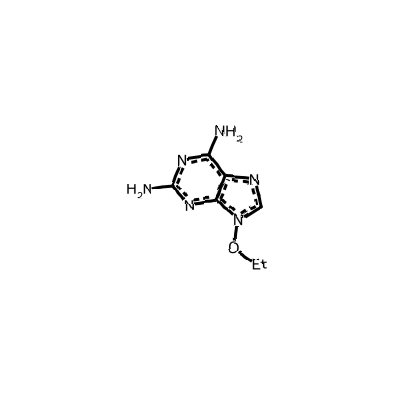 CCOn1cnc2c(N)nc(N)nc21